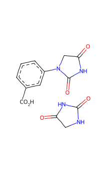 O=C1CN(c2cccc(C(=O)O)c2)C(=O)N1.O=C1CNC(=O)N1